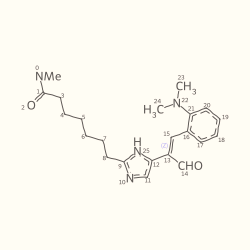 CNC(=O)CCCCCCc1ncc(/C(C=O)=C/c2ccccc2N(C)C)[nH]1